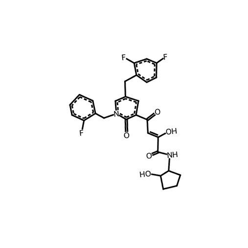 O=C(NC1CCCC1O)C(O)=CC(=O)c1cc(Cc2ccc(F)cc2F)cn(Cc2ccccc2F)c1=O